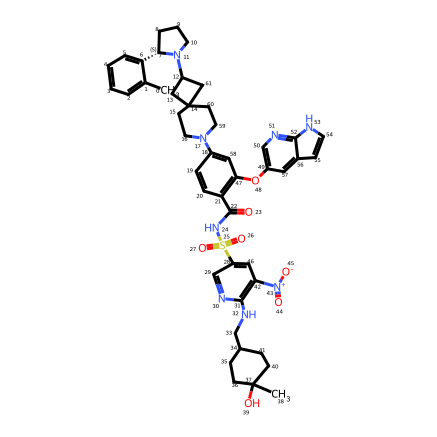 Cc1ccccc1[C@@H]1CCCN1C1CC2(CCN(c3ccc(C(=O)NS(=O)(=O)c4cnc(NCC5CCC(C)(O)CC5)c([N+](=O)[O-])c4)c(Oc4cnc5[nH]ccc5c4)c3)CC2)C1